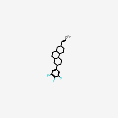 CCC/C=C/C1CCC2C(CCC3CC(c4cc(F)c(F)c(F)c4)CCC32)C1